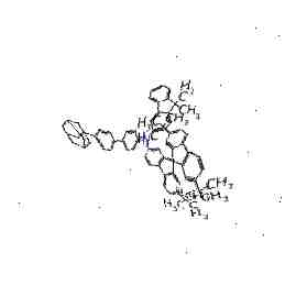 CC(C)(C)c1ccc2c(c1)C1(c3cc(N(c4ccc(-c5ccc(C67CC8CC(CC(C8)C6)C7)cc5)cc4)c4ccc5c(c4)-c4ccccc4C5(C)C)ccc3-2)c2cc(C(C)(C)C)ccc2-c2ccc(C(C)(C)C)cc21